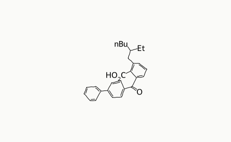 CCCCC(CC)Cc1cccc(C(=O)c2ccc(-c3ccccc3)cc2)c1C(=O)O